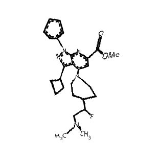 COC(=O)c1cc(N2CCC(C(F)CN(C)C)CC2)c2c(C3CCC3)nn(-c3ccccc3)c2n1